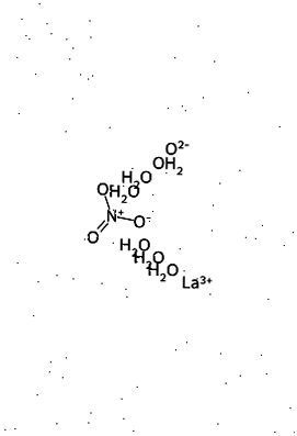 O.O.O.O.O.O.O=[N+]([O-])[O-].[La+3].[O-2]